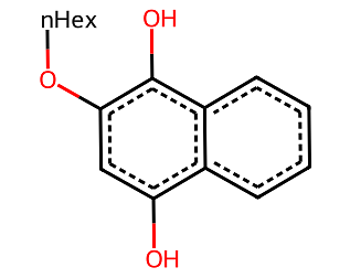 CCCCCCOc1cc(O)c2ccccc2c1O